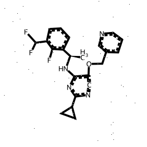 C[C@@H](Nc1nc(C2CC2)ncc1OCc1cccnc1)c1cccc(C(F)F)c1F